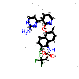 Cc1ccc2c(NS(=O)(=O)CC(F)(F)F)c(F)ccc2c1Oc1ncccc1-c1ccnc(N)n1